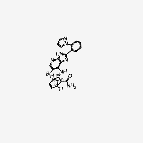 NC(=O)[C@@H]1[C@H](Nc2c(Br)cnc3[nH]c(-c4ccccc4-n4cccn4)nc23)[C@H]2C=C[C@@H]1C2